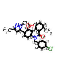 Cn1nc(C(F)(F)F)cc1-c1ccc(N(Cc2ccc(Cl)cc2)C(=O)c2ccccc2C(F)(F)F)cc1O